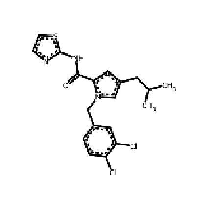 CC(C)Cc1cc(C(=O)Nc2nccs2)n(Cc2ccc(Cl)c(Cl)c2)c1